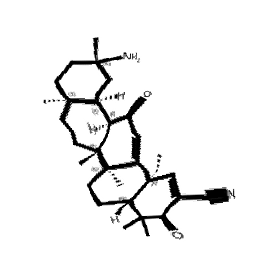 CC1(C)C(=O)C(C#N)=C[C@]2(C)C3=CC(=O)[C@@H]4[C@@H]5C[C@@](C)(N)CC[C@]5(C)CC[C@@]4(C)[C@]3(C)CC[C@@H]12